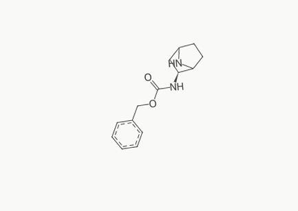 O=C(N[C@H]1CC2CCC1N2)OCc1ccccc1